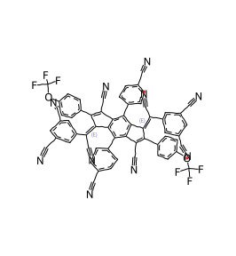 N#CC1=C(c2ccc(OC(F)(F)F)cc2)/C(=C(/C#N)c2cc(C#N)cc(C#N)c2)c2c1c(-c1ccc(C#N)cc1)c1c(c2-c2ccc(C#N)cc2)C(C#N)=C(c2ccc(OC(F)(F)F)cc2)/C1=C(/C#N)c1cc(C#N)cc(C#N)c1